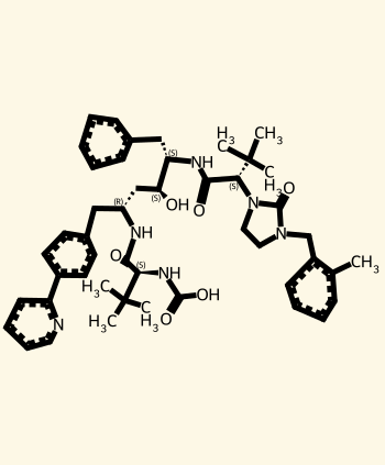 Cc1ccccc1CN1CCN([C@H](C(=O)N[C@@H](Cc2ccccc2)[C@@H](O)C[C@@H](Cc2ccc(-c3ccccn3)cc2)NC(=O)[C@@H](NC(=O)O)C(C)(C)C)C(C)(C)C)C1=O